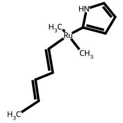 CC=CC=[CH][Ru]([CH3])([CH3])[c]1ccc[nH]1